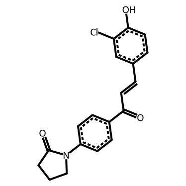 O=C(C=Cc1ccc(O)c(Cl)c1)c1ccc(N2CCCC2=O)cc1